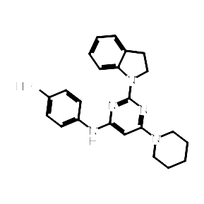 Cc1ccc(Nc2cc(N3CCCCC3)nc(N3CCc4ccccc43)n2)cc1